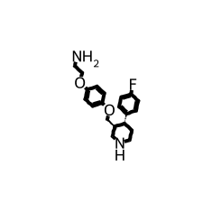 NCCOc1ccc(OC[C@@H]2CNCC[C@H]2c2ccc(F)cc2)cc1